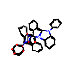 C1=CCC2=C3N(c4ccccc4)c4ccccc4[N]3[Ir]34([C]2=C1)([C]1=CC=CCC1=C1N(c2ccccc2)c2ccccc2[N]13)[C]1=CC=CCC1=C1N(c2ccccc2)c2ccccc2[N]14